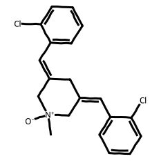 C[N+]1([O-])CC(=Cc2ccccc2Cl)CC(=Cc2ccccc2Cl)C1